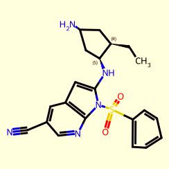 CC[C@@H]1CC(N)C[C@@H]1Nc1cc2cc(C#N)cnc2n1S(=O)(=O)c1ccccc1